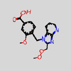 COOCc1nc2ncccc2n1Cc1ccc(C(=O)O)cc1OC